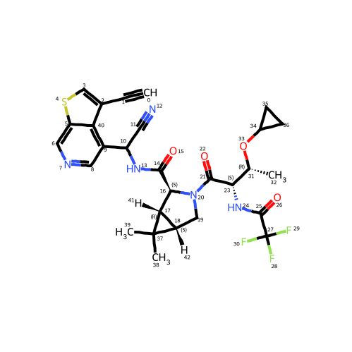 C#Cc1csc2cncc(C(C#N)NC(=O)[C@@H]3[C@@H]4[C@H](CN3C(=O)[C@@H](NC(=O)C(F)(F)F)[C@@H](C)OC3CC3)C4(C)C)c12